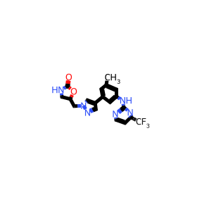 Cc1cc(Nc2nccc(C(F)(F)F)n2)cc(-c2cnn(CC3CNC(=O)O3)c2)c1